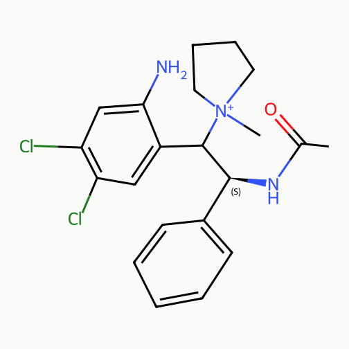 CC(=O)N[C@@H](c1ccccc1)C(c1cc(Cl)c(Cl)cc1N)[N+]1(C)CCCC1